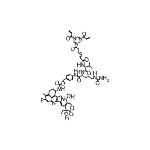 C=CC(=O)N1CN(C(=O)C=C)CN(C(=O)CCSCC(=O)N[C@H](C(=O)N[C@@H](CCCNC(N)=O)C(=O)Nc2ccc(COC(=O)N[C@H]3CCc4c(C)c(F)cc5nc6c(c3c45)CN3C6=CC4=C(COC(=O)[C@]4(O)CC)C3O)cc2)C(C)C)C1